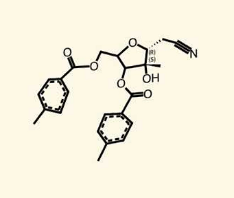 Cc1ccc(C(=O)OCC2O[C@H](CC#N)[C@](C)(O)C2OC(=O)c2ccc(C)cc2)cc1